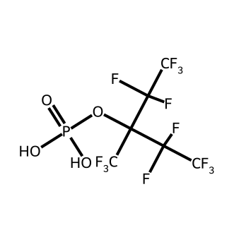 O=P(O)(O)OC(C(F)(F)F)(C(F)(F)C(F)(F)F)C(F)(F)C(F)(F)F